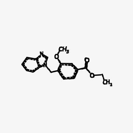 CCOC(=O)c1ccc(Cn2cnc3ccccc32)c(OC)c1